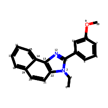 CCn1c(-c2cccc(OC)c2)nc2c3ccccc3ccc21